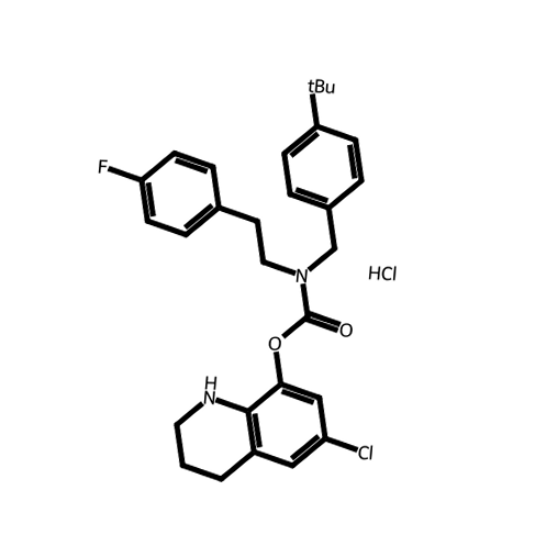 CC(C)(C)c1ccc(CN(CCc2ccc(F)cc2)C(=O)Oc2cc(Cl)cc3c2NCCC3)cc1.Cl